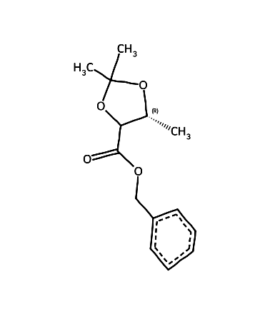 C[C@H]1OC(C)(C)OC1C(=O)OCc1ccccc1